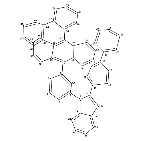 C1=CC2C(c3cccc(-n4c(-c5ccc(-c6ccccc6)cc5)nc5ccccc54)c3)=c3ccccc3=C(c3ccccc3-c3ccccc3)C2C=C1